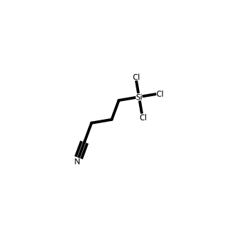 N#CCCC[Si](Cl)(Cl)Cl